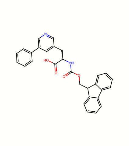 O=C(N[C@H](Cc1cncc(-c2ccccc2)c1)C(=O)O)OCC1c2ccccc2-c2ccccc21